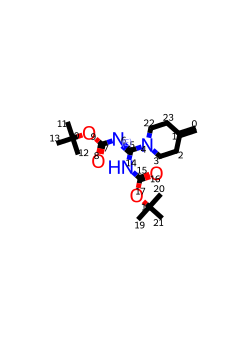 C=C1CCN(/C(=N/C(=O)OC(C)(C)C)NC(=O)OC(C)(C)C)CC1